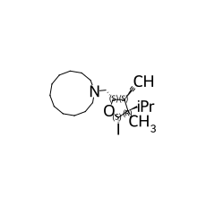 C#C[C@@H]1[C@@H](CN2CCCCCCCCCCC2)O[C@@H](I)[C@]1(C)C(C)C